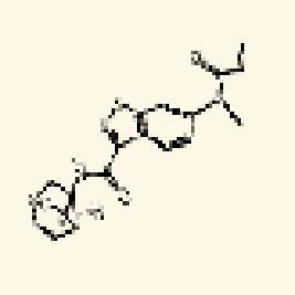 CCC(=O)N(C)c1ccc2c(C(=O)N[C@@H]3CN4CCC3CC4)nsc2c1